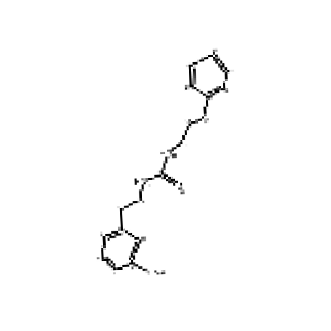 COc1cccc(CCNC(=O)NCCCc2ccccc2)c1